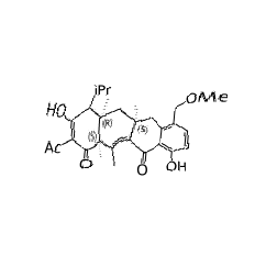 COCc1ccc(O)c2c1C[C@]1(C)C[C@]3(C)C(C(C)C)C(O)=C(C(C)=O)C(=O)[C@]3(C)C(C)=C1C2=O